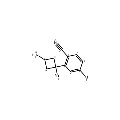 [2H]C1(c2cc(Cl)ccc2C#N)CC(N)C1